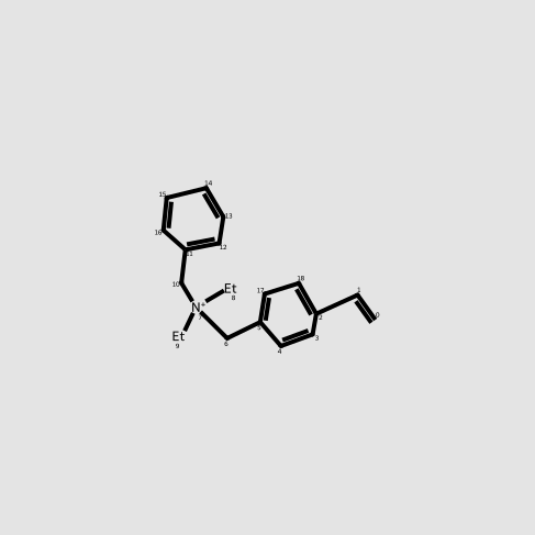 C=Cc1ccc(C[N+](CC)(CC)Cc2ccccc2)cc1